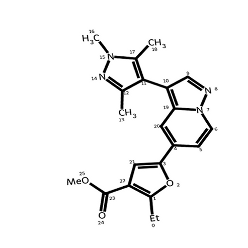 CCc1oc(-c2ccn3ncc(-c4c(C)nn(C)c4C)c3c2)cc1C(=O)OC